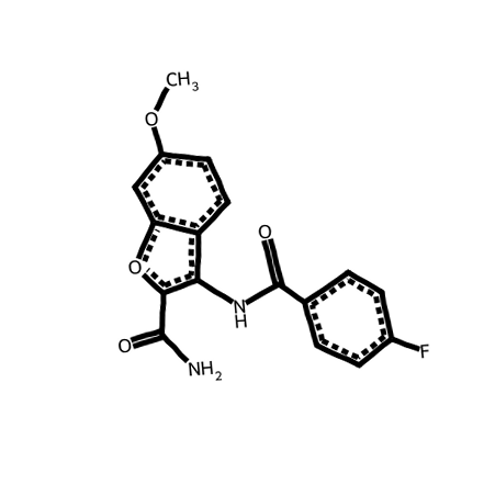 COc1ccc2c(NC(=O)c3ccc(F)cc3)c(C(N)=O)oc2c1